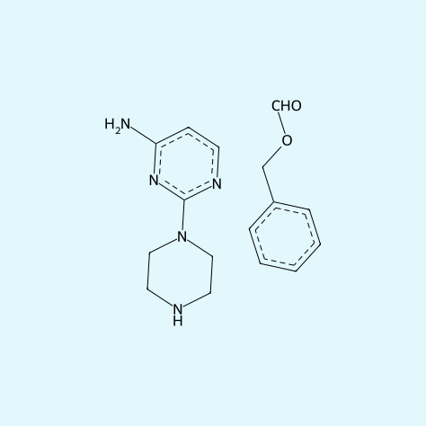 Nc1ccnc(N2CCNCC2)n1.O=COCc1ccccc1